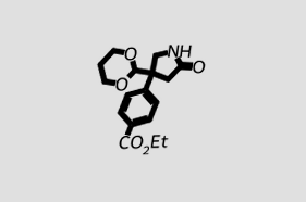 CCOC(=O)c1ccc(C2(C3OCCCO3)CNC(=O)C2)cc1